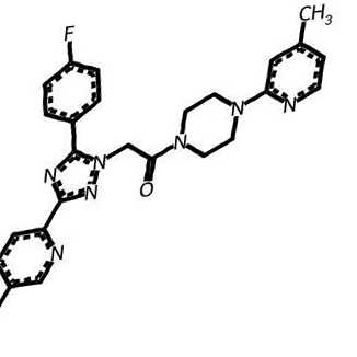 Cc1ccnc(N2CCN(C(=O)Cn3nc(-c4ccc(F)cn4)nc3-c3ccc(F)cc3)CC2)c1